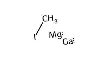 CI.[Ga].[Mg]